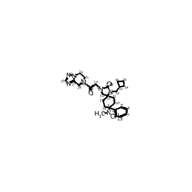 CN(C)C1(c2ccccc2)CCC2(CC1)CN(CC(=O)N1CCn3ncnc3C1)C(=O)N2CC1CCC1